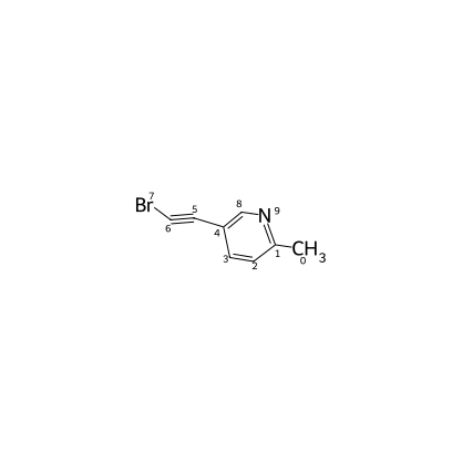 Cc1ccc(C#CBr)cn1